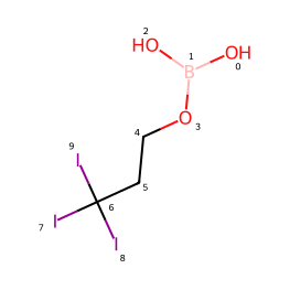 OB(O)OCCC(I)(I)I